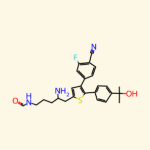 CC(C)(O)c1ccc(-c2sc(CC(N)CCCNC=O)cc2-c2ccc(C#N)c(F)c2)cc1